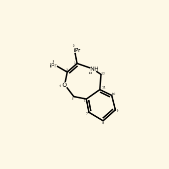 CC(C)/C1=C(\C(C)C)OCc2ccccc2CN1